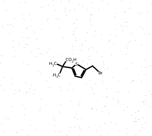 CC(C)(C(=O)O)c1ccc(CBr)s1